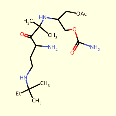 CCC(C)(C)NCCC(N)C(=O)C(C)(C)NC(COC(C)=O)COC(N)=O